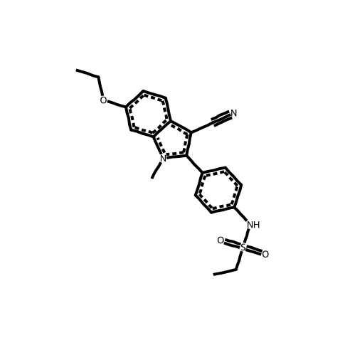 CCOc1ccc2c(C#N)c(-c3ccc(NS(=O)(=O)CC)cc3)n(C)c2c1